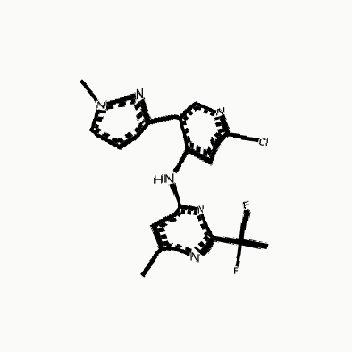 Cc1cc(Nc2cc(Cl)ncc2-c2ccn(C)n2)nc(C(C)(F)F)n1